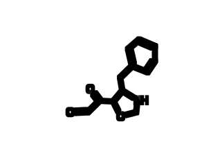 O=CC(=O)C1OCNC1Cc1ccccc1